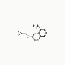 Nc1cccc2ccc(OCC3CC3)cc12